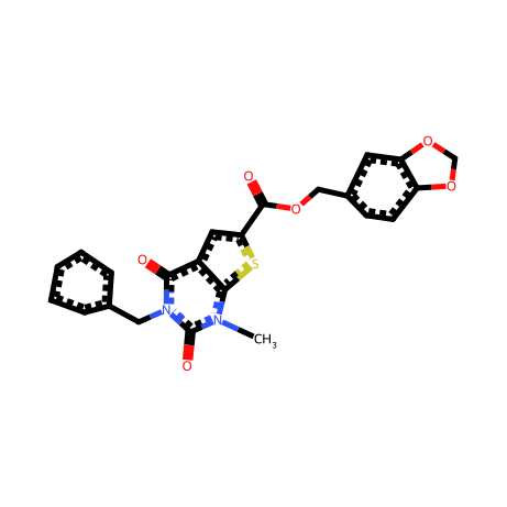 Cn1c(=O)n(Cc2ccccc2)c(=O)c2cc(C(=O)OCc3ccc4c(c3)OCO4)sc21